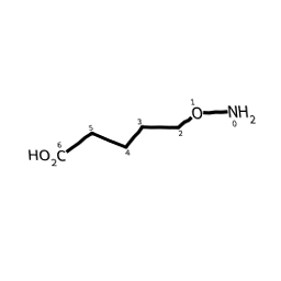 NOCCCCC(=O)O